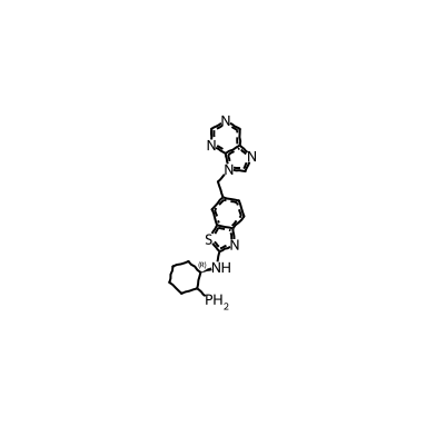 PC1CCCC[C@H]1Nc1nc2ccc(Cn3cnc4cncnc43)cc2s1